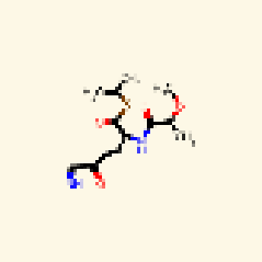 CO[C@@H](C)C(=O)N[C@@H](CCC(=O)C=N)C(=O)SC(C)C